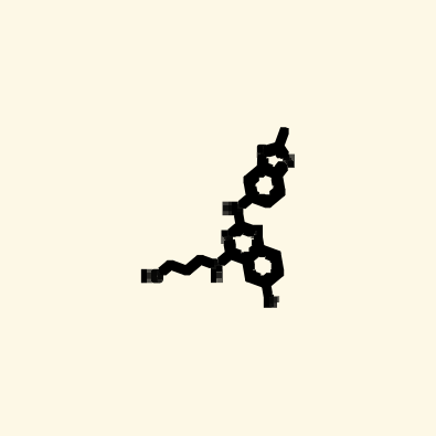 Cc1nc2ccc(Nc3nc(NCCCO)c4cc(Br)ccc4n3)cc2s1